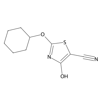 N#Cc1sc(OC2CCCCC2)nc1O